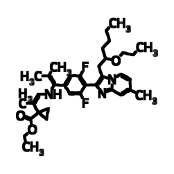 CCCCC(Cc1c(-c2c(F)cc(C(NC=C(C)C3(C(=O)OCC)CC3)=C(C)C)cc2F)nc2cc(C)ccn12)OCCC